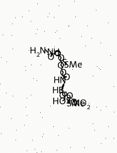 CSSC(COc1cccc(C(=O)NCCN)c1)OCCOCC(=O)NCC#CB[C@H]1C[C@@H](O[C@H](CO[N+](=O)[O-])SSC)C(CO)O1